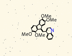 COc1cc2c(cc1OC)-c1ccc(OC)c(OC)c1C2=Cc1ccnc2ccccc12